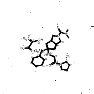 CN(C)C(=O)N1CC2CC(CC3CCCCC3)(NCC(=O)N3CCC[C@H]3C#N)CC2C1.O=C(O)C(O)C(O)C(=O)O